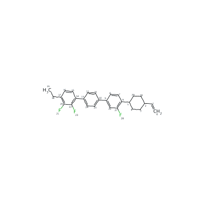 C=CC1CCC(c2ccc(-c3ccc(-c4ccc(CC)c(F)c4F)cc3)cc2F)CC1